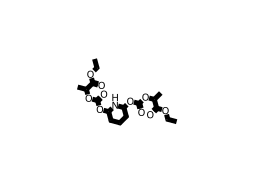 CCOC(=O)C(C)OC(=O)OC1CCCC(OC(=O)OC(C)C(=O)OCC)N1